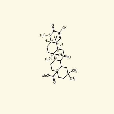 COC(=O)[C@]12CCC(C)(C)CC1C1C(=O)C[C@@H]3[C@@]4(C)C=C(C#N)C(=O)[C@@H](C)[C@@H]4CC[C@@]3(C)[C@]1(C)CC2